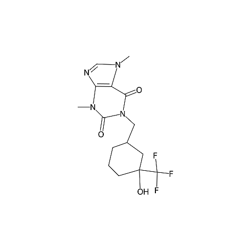 Cn1cnc2c1c(=O)n(CC1CCCC(O)(C(F)(F)F)C1)c(=O)n2C